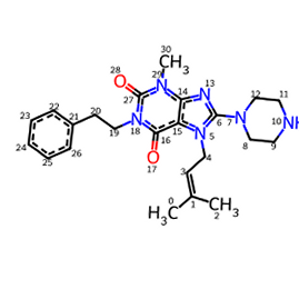 CC(C)=CCn1c(N2CCNCC2)nc2c1c(=O)n(CCc1ccccc1)c(=O)n2C